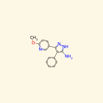 COc1ccc(-c2n[nH]c(N)c2-c2ccccc2)cn1